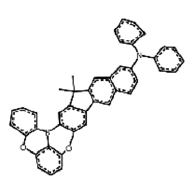 CC1(C)c2cc3c(cc2-c2cc4ccc(N(c5ccccc5)c5ccccc5)cc4cc21)Oc1cccc2c1B3c1ccccc1O2